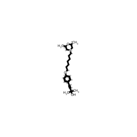 CC1CN(CCCCCCCOc2ccc(C#CC(C)(C)O)cc2)CC(C)O1